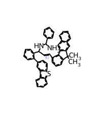 CC1(C)c2cc3ccccc3cc2-c2c(/C=C/C(NC(N)c3ccccc3)c3ccccc3-c3ccc4sc5ccccc5c4c3)cccc21